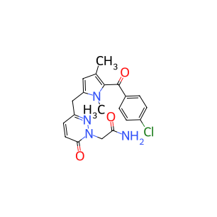 Cc1cc(Cc2ccc(=O)n(CC(N)=O)n2)n(C)c1C(=O)c1ccc(Cl)cc1